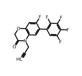 C#CCN1C(=O)COc2cc(F)c(-c3cc(F)c(F)c(F)c3F)cc21